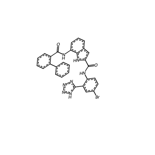 O=C(Nc1ccc(Br)cc1-c1nnn[nH]1)c1cc2cccc(NC(=O)c3ccccc3-c3ccccc3)c2[nH]1